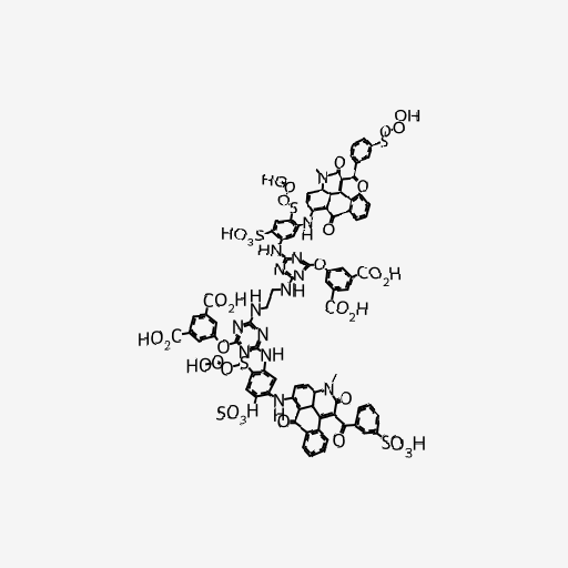 CN1C(=O)C(C(=O)c2cccc(SOOO)c2)=C2c3ccccc3C(=O)C3=C(Nc4cc(Nc5nc(NCCNc6nc(Nc7cc(NC8=C9C(=O)c%10ccccc%10C%10=C(C(=O)c%11cccc(S(=O)(=O)O)c%11)C(=O)N(C)C(C=C8)C9%10)c(S(=O)(=O)O)cc7SOOO)nc(Oc7cc(C(=O)O)cc(C(=O)O)c7)n6)nc(Oc6cc(C(=O)O)cc(C(=O)O)c6)n5)c(S(=O)(=O)O)cc4SOOO)C=CC1C32